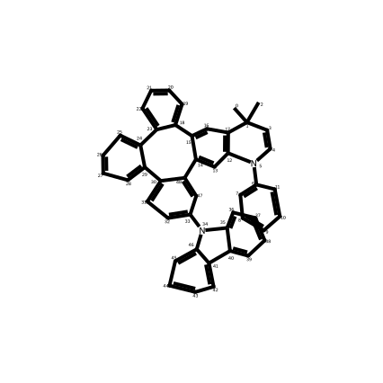 CC1(C)C=CN(c2ccccc2)c2cc3c(cc21)-c1ccccc1-c1ccccc1-c1ccc(-n2c4ccccc4c4ccccc42)cc1-3